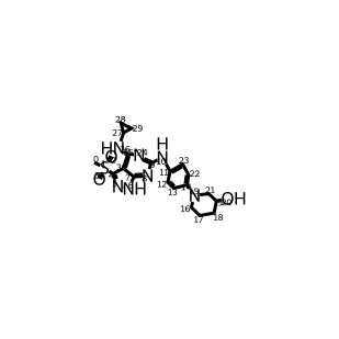 CS(=O)(=O)c1n[nH]c2nc(Nc3ccc(N4CCCC(O)C4)cc3)nc(NC3CC3)c12